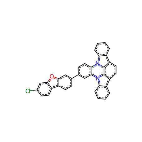 Clc1ccc2c(c1)oc1cc(-c3ccc4c(c3)n3c5ccccc5c5ccc6c7ccccc7n4c6c53)ccc12